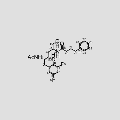 CC(=O)N[C@@H](Cc1cc(F)cc(F)c1)[C@@H](O)CC(CO)NC(=O)CCCc1ccccc1